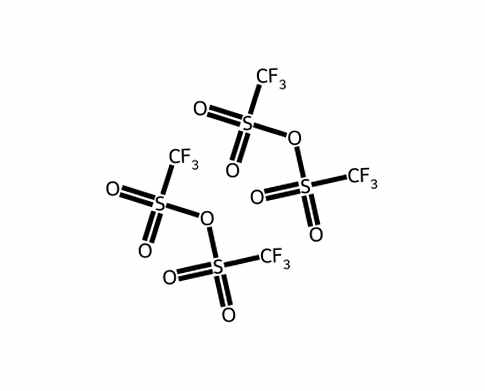 O=S(=O)(OS(=O)(=O)C(F)(F)F)C(F)(F)F.O=S(=O)(OS(=O)(=O)C(F)(F)F)C(F)(F)F